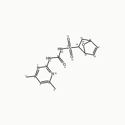 Cc1cc(C)nc(NC(=O)NS(=O)(=O)C2CC3C=CC2O3)n1